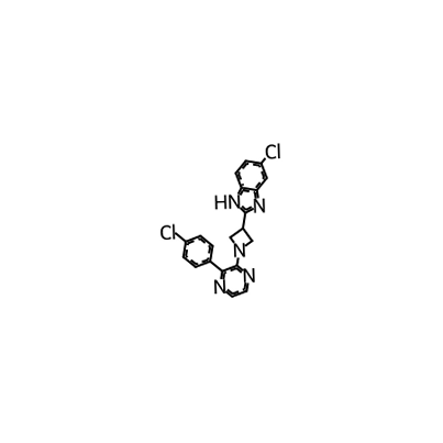 Clc1ccc(-c2nccnc2N2CC(c3nc4cc(Cl)ccc4[nH]3)C2)cc1